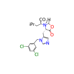 CC(C)C[C@@H](C(=O)O)N1C(C)OC(=O)[C@@H]1Cc1cncn1Cc1cc(Cl)cc(Cl)c1